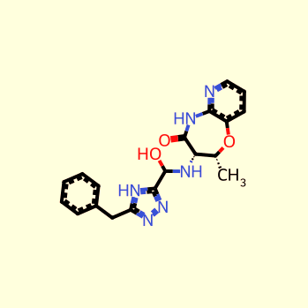 C[C@H]1Oc2cccnc2NC(=O)[C@H]1NC(O)c1nnc(Cc2ccccc2)[nH]1